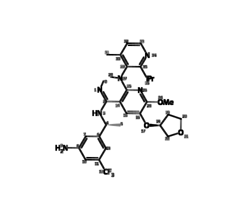 C/N=C(/N[C@H](C)c1cc(N)cc(C(F)(F)F)c1)c1cc(O[C@H]2CCOC2)c(OC)nc1N(C)c1c(C)ccnc1C(C)C